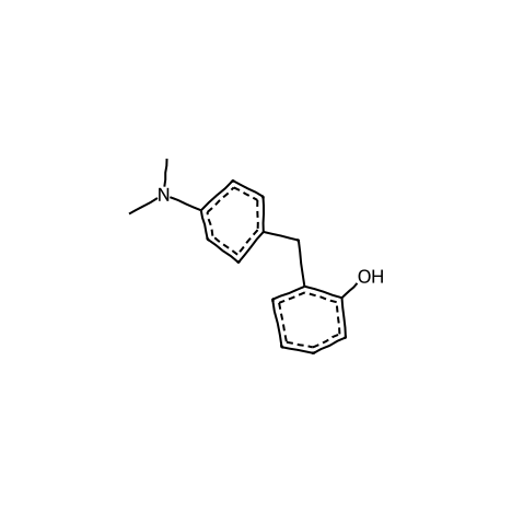 CN(C)c1ccc(Cc2ccccc2O)cc1